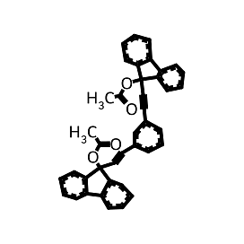 CC(=O)OC1(C#Cc2cccc(C#CC3(OC(C)=O)c4ccccc4-c4ccccc43)c2)c2ccccc2-c2ccccc21